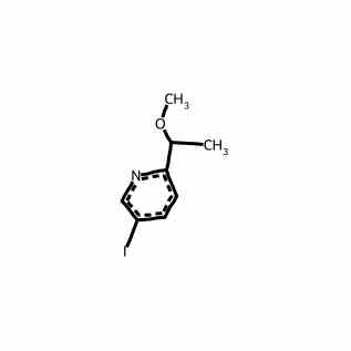 COC(C)c1ccc(I)cn1